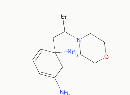 CCC(CC1(N)C=CC=C(N)C1)N1CCOCC1